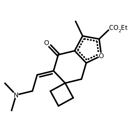 CCOC(=O)c1oc2c(c1C)C(=O)/C(=C/CN(C)C)C1(CCC1)C2